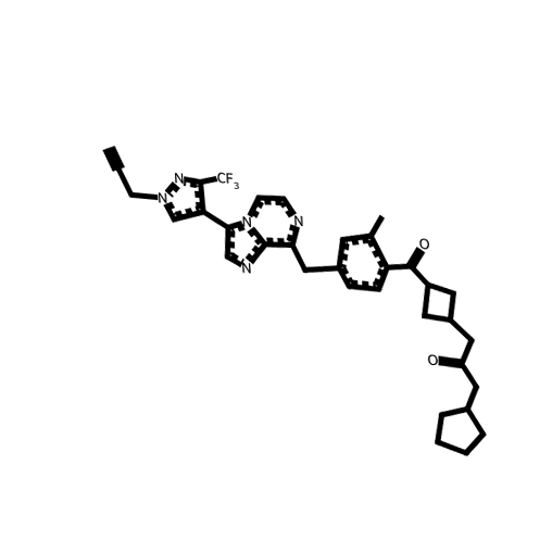 C#CCn1cc(-c2cnc3c(Cc4ccc(C(=O)C5CC(CC(=O)CC6CCCC6)C5)c(C)c4)nccn23)c(C(F)(F)F)n1